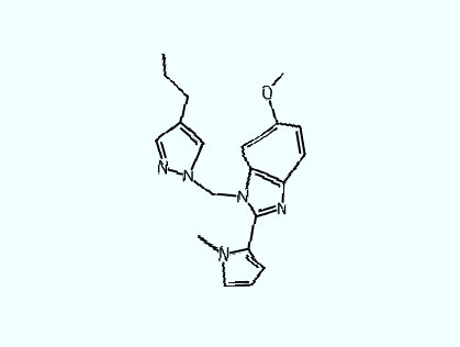 CCCc1cnn(Cn2c(-c3cccn3C)nc3ccc(OC)cc32)c1